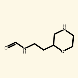 O=CNCCC1CNCCO1